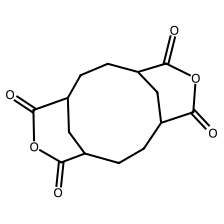 O=C1OC(=O)C2CCC3CC(CCC1C2)C(=O)OC3=O